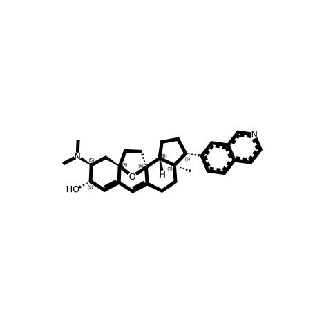 CN(C)[C@H]1C[C@@]23CC[C@@]4(O2)C(=CC3=C[C@@H]1O)CC[C@]1(C)[C@@H](c2ccc3ccncc3c2)CC[C@H]14